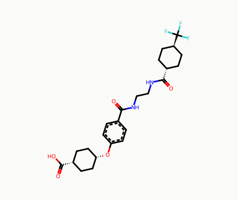 O=C(NCCNC(=O)[C@H]1CC[C@H](C(F)(F)F)CC1)c1ccc(O[C@H]2CC[C@@H](C(=O)O)CC2)cc1